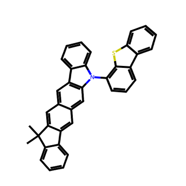 CC1(C)c2ccccc2-c2cc3cc4c(cc3cc21)c1ccccc1n4-c1cccc2c1sc1ccccc12